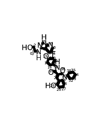 C[C@H](CO)Nc1n[nH]c2nccc(Oc3ccc(NC(=O)c4cc5c(O)cccc5n(-c5ccccc5)c4=O)cc3F)c12